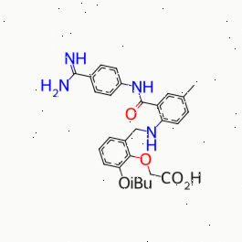 Cc1ccc(NCc2cccc(OCC(C)C)c2OCC(=O)O)c(C(=O)Nc2ccc(C(=N)N)cc2)c1